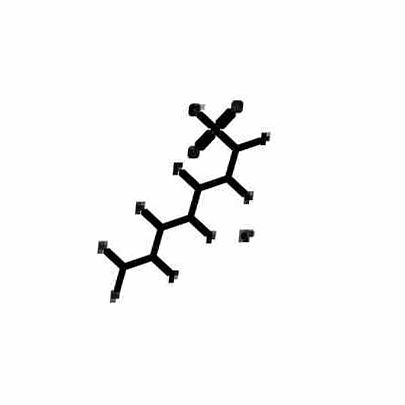 O=S(=O)([O-])C(F)C(F)C(F)C(F)C(F)C(F)C(F)F.[K+]